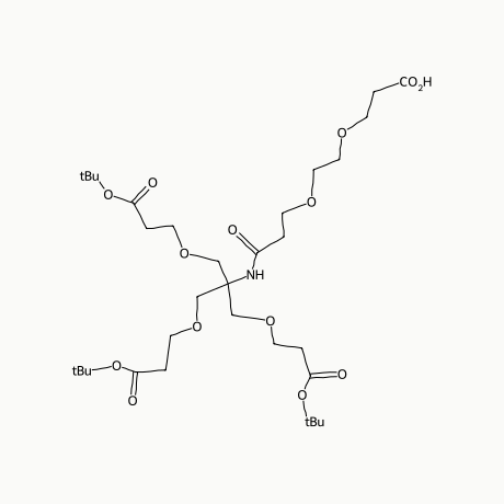 CC(C)(C)OC(=O)CCOCC(COCCC(=O)OC(C)(C)C)(COCCC(=O)OC(C)(C)C)NC(=O)CCOCCOCCC(=O)O